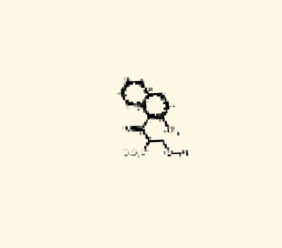 CCOCC(C(=O)OCC)C(=O)c1c(C(F)(F)F)ccc2ccccc12